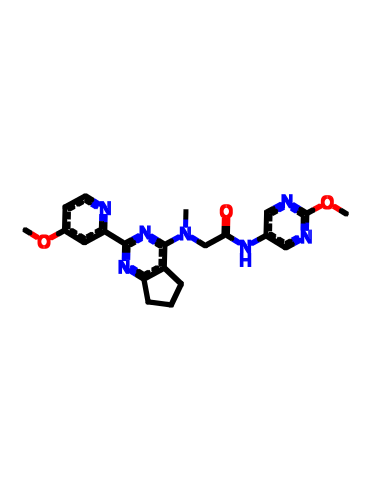 COc1ccnc(-c2nc3c(c(N(C)CC(=O)Nc4cnc(OC)nc4)n2)CCC3)c1